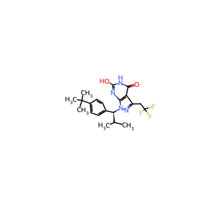 CC(C)[C@@H](c1ccc(C(C)(C)C)cc1)n1nc(CC(F)(F)F)c2c(=O)[nH]c(O)nc21